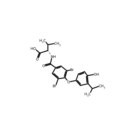 CC(C)c1cc(Oc2c(Br)cc(C(=O)N[C@H](C(=O)O)C(C)C)cc2Br)ccc1O